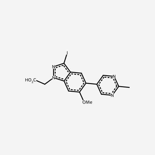 COc1cc2c(cc1-c1cnc(C)nc1)c(I)nn2CC(=O)O